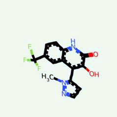 Cn1nccc1-c1c(O)c(=O)[nH]c2ccc(C(F)(F)F)cc12